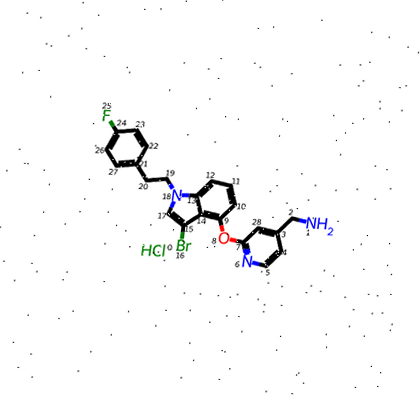 Cl.NCc1ccnc(Oc2cccc3c2c(Br)cn3CCc2ccc(F)cc2)c1